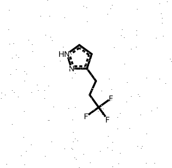 FC(F)(F)CCc1cc[nH]n1